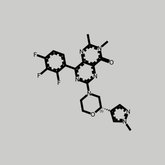 Cc1nc2c(-c3ccc(F)c(F)c3F)nc(N3CCO[C@@H](c4cnn(C)c4)C3)nc2c(=O)n1C